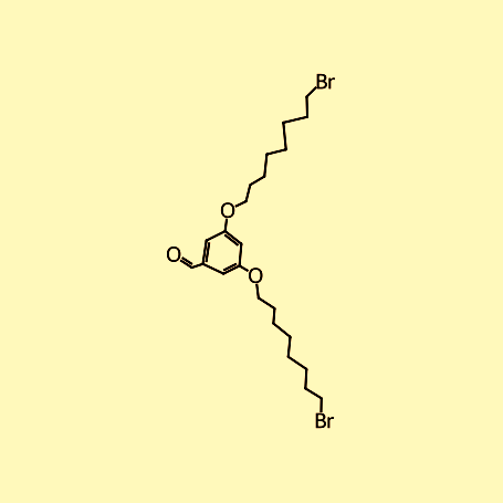 O=Cc1cc(OCCCCCCCCBr)cc(OCCCCCCCCBr)c1